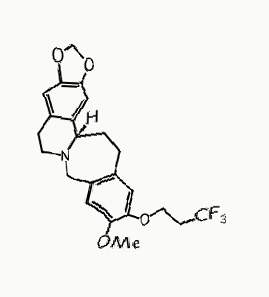 COc1cc2c(cc1OCCC(F)(F)F)CC[C@H]1c3cc4c(cc3CCN1C2)OCO4